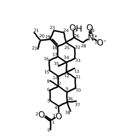 CC(=O)OC1CCC2(C)C(CCC3(C)C2CCC2C4=C(C(C)C)CCC4(C(O)C[N+](=O)[O-])CCC23C)C1(C)C